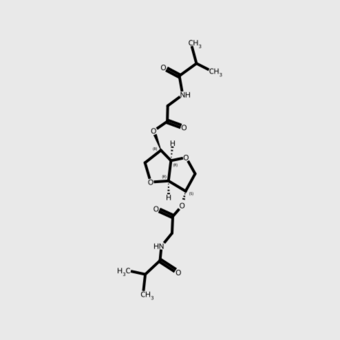 CC(C)C(=O)NCC(=O)O[C@H]1CO[C@H]2[C@@H]1OC[C@H]2OC(=O)CNC(=O)C(C)C